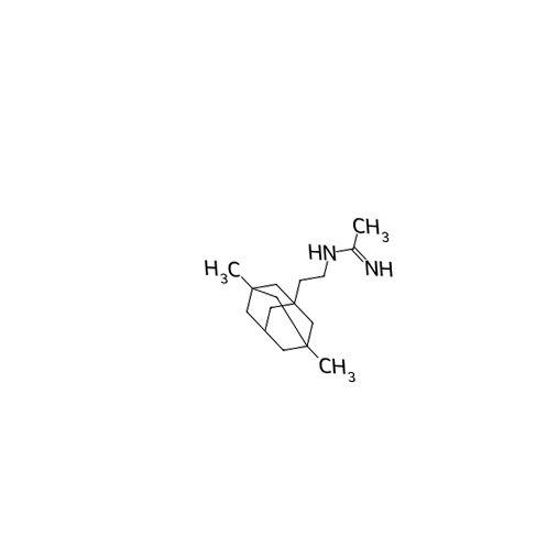 CC(=N)NCCC12CC3CC(C)(CC(C)(C3)C1)C2